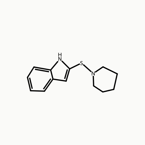 c1ccc2[nH]c(SN3CCCCC3)cc2c1